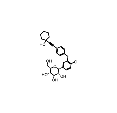 OC[C@H]1O[C@@H](c2ccc(Cl)c(Cc3ccc(C#CC4(O)CCCCC4)cc3)c2)[C@H](O)[C@@H](O)[C@@H]1O